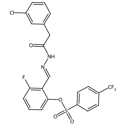 O=C(Cc1cccc(Cl)c1)NN=Cc1c(F)cccc1OS(=O)(=O)c1ccc(C(F)(F)F)cc1